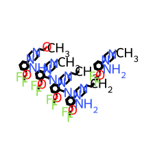 C=CCN1CCN(c2cccc(OC(F)F)c2N)CC1.CCCN1CCN(c2cccc(OC(F)F)c2C#N)CC1.CCN1CCN(c2cccc(OC(F)F)c2C#N)CC1.CCN1CCN(c2cccc(OC(F)F)c2N)CC1.COCCN1CCN(c2cccc(OC(F)F)c2N)CC1